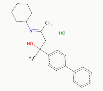 CC(CC(C)(O)c1ccc(-c2ccccc2)cc1)=NC1CCCCC1.Cl